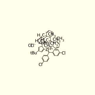 CCCC1C=C(C(C)(C)C)C=[C]1[Zr+2](=[C](c1ccc(Cl)cc1)c1ccc(Cl)cc1)[CH]1C2C=CC=C(C)C2(C)C2(C)C3(C)C=CC=CC3(C)C3(C)C=CC=CC3(C)C12C.[Cl-].[Cl-]